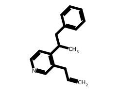 C=CCc1cnccc1C(C)Cc1ccccc1